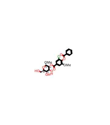 COc1cc(C(=O)O[C@H]2[C@@H](OC)O[C@H](CO)[C@@H](O)[C@@H]2O)cc(Cl)c1OC(=O)c1ccccc1